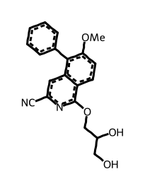 COc1ccc2c(OCC(O)CO)nc(C#N)cc2c1-c1ccccc1